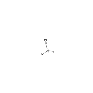 CN(C)C.[Pt]